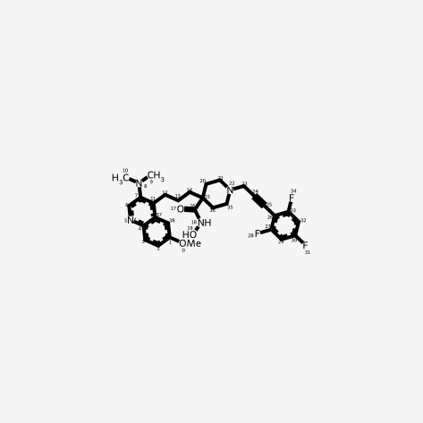 COc1ccc2ncc(N(C)C)c(CCCC3(C(=O)NO)CCN(CC#Cc4c(F)cc(F)cc4F)CC3)c2c1